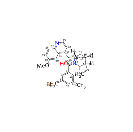 C=C[C@H]1C[N@+]2(Cc3cc(C(F)(F)F)cc(C(F)(F)F)c3)CC[C@H]1C[C@H]2[C@H](O)c1ccnc2ccc(OC)cc12.[Br-]